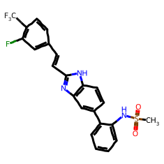 CS(=O)(=O)Nc1ccccc1-c1ccc2[nH]c(/C=C/c3ccc(C(F)(F)F)c(F)c3)nc2c1